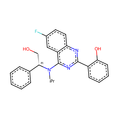 CC(C)N(c1nc(-c2ccccc2O)nc2ccc(F)cc12)[C@@H](CO)c1ccccc1